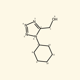 OCc1nnnn1C1CCCCC1